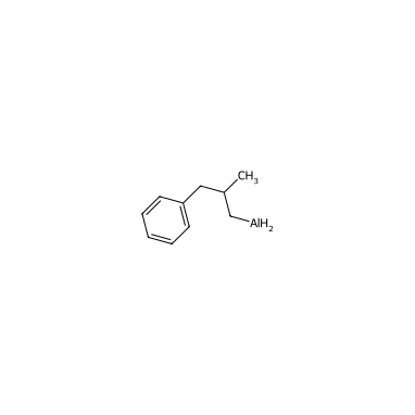 CC([CH2][AlH2])Cc1ccccc1